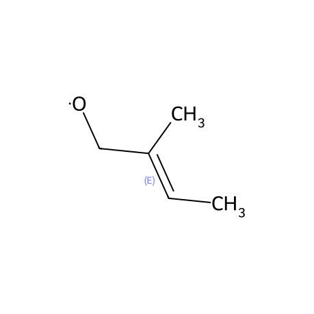 C/C=C(\C)C[O]